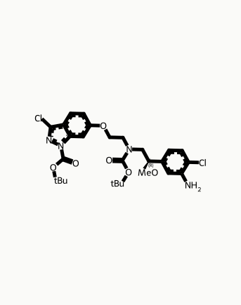 CO[C@@H](CN(CCOc1ccc2c(Cl)nn(C(=O)OC(C)(C)C)c2c1)C(=O)OC(C)(C)C)c1ccc(Cl)c(N)c1